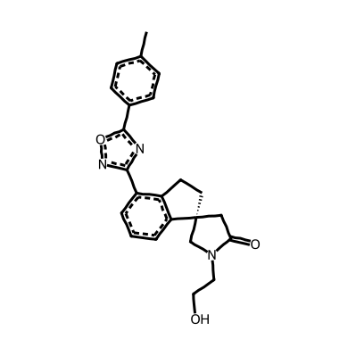 Cc1ccc(-c2nc(-c3cccc4c3CC[C@@]43CC(=O)N(CCO)C3)no2)cc1